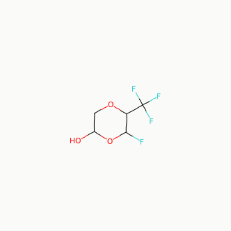 OC1COC(C(F)(F)F)C(F)O1